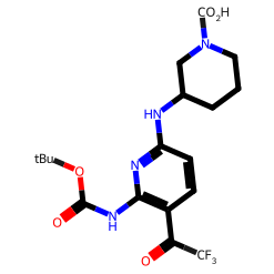 CC(C)(C)OC(=O)Nc1nc(NC2CCCN(C(=O)O)C2)ccc1C(=O)C(F)(F)F